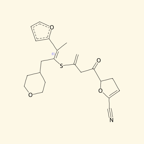 C=C(CC(=O)C1CC=C(C#N)O1)S/C(CC1CCOCC1)=C(\C)c1ccco1